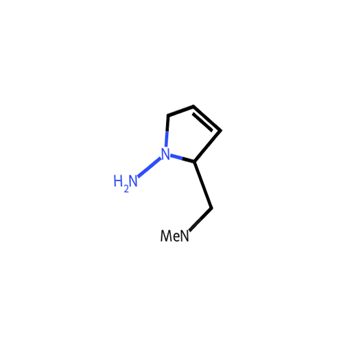 CNCC1C=CCN1N